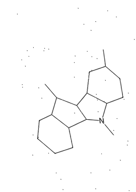 CC1CCC2C(C1)C1C(C)C3CCCCC3C1N2C